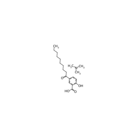 CCCCCCCCCC(=O)c1ccc(O)c(C(=O)O)c1.CN(C)C